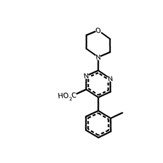 Cc1ccccc1-c1cnc(N2CCOCC2)nc1C(=O)O